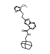 Cn1ccnc1SCc1cn2c(C(=O)NCC34CC5CC(CC(C5)C3)C4)cccc2n1